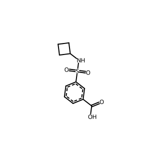 O=C(O)c1cccc(S(=O)(=O)NC2CCC2)c1